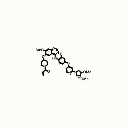 C=CC(=O)N1CCC(Oc2cc3c(Nc4ccc(Oc5ccnc(N6C[C@H](OC)[C@H](OC)C6)c5)cc4F)ncnc3cc2OC)CC1